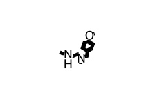 CCNCCN(C)Cc1ccc(OC)cc1